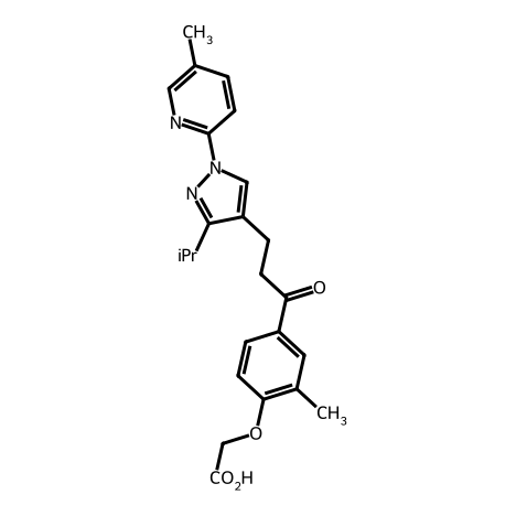 Cc1ccc(-n2cc(CCC(=O)c3ccc(OCC(=O)O)c(C)c3)c(C(C)C)n2)nc1